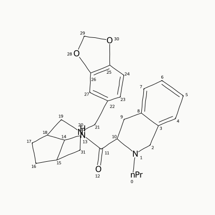 CCCN1Cc2ccccc2CC1C(=O)NC1C2CCC1CN(Cc1ccc3c(c1)OCO3)C2